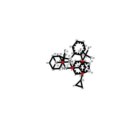 O=C(Nc1cccc(C(F)(F)F)c1)N1C2CC(NCc3c(-c4ccccc4OC(F)(F)F)noc3C3CC3)CC1C2